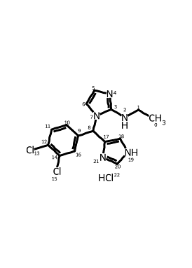 CCNc1nccn1C(c1ccc(Cl)c(Cl)c1)c1c[nH]cn1.Cl